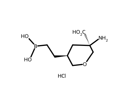 Cl.N[C@@]1(C(=O)O)COC[C@@H](CCB(O)O)C1